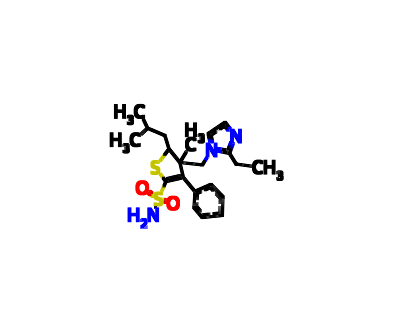 CCc1nccn1CC1(C)C(c2ccccc2)=C(S(N)(=O)=O)SC1CC(C)C